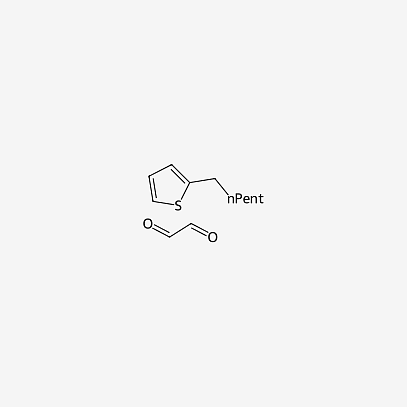 CCCCCCc1cccs1.O=CC=O